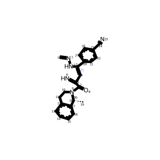 C=NN/C(=C\C(=N)C(=O)N1CCc2ccccc2[C@H]1C)c1ccc(C#N)cc1